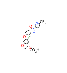 O=C(O)OC1CCOc2cc(Oc3ccc(C(=O)Nc4ccc(C(F)(F)F)nc4)cc3)c(Cl)cc21